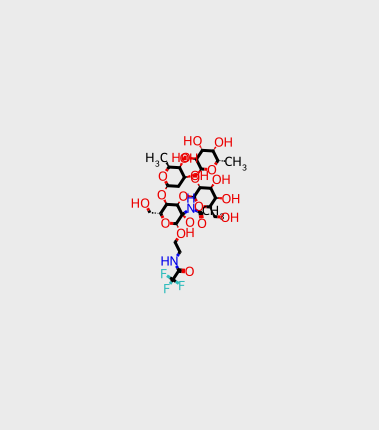 CC(=O)N[C@]1(O)[C@H](OCCNC(=O)C(F)(F)F)O[C@H](CO)[C@@H](O[C@H]2C[C@H](O)[C@H](O)[C@H](C)O2)[C@@H]1O[C@@H]1O[C@H](CO)[C@H](O)[C@H](O)[C@H]1O[C@@H]1O[C@@H](C)[C@@H](O)[C@@H](O)[C@@H]1O